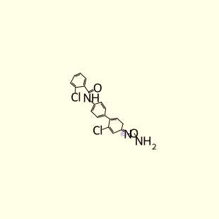 NO/N=C1/C=C(Cl)C(c2ccc(NC(=O)c3ccccc3Cl)cc2)=CC1